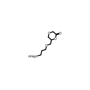 CCCCCCCCCCOCC1COCC(=O)O1